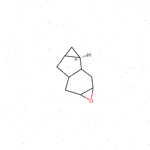 C1C2CC3C[C@H]3C2CC2OC12